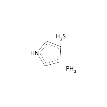 P.S.c1cc[nH]c1